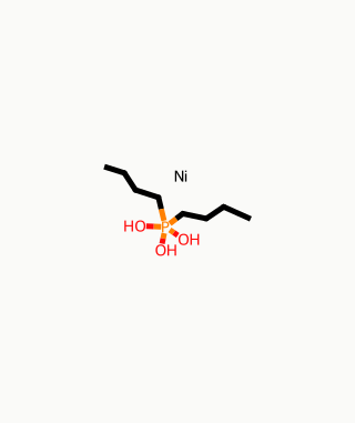 CCCCP(O)(O)(O)CCCC.[Ni]